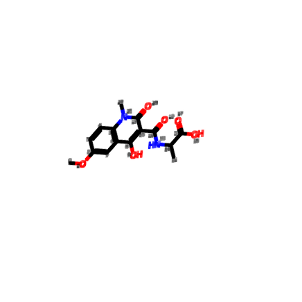 COc1ccc2c(c1)c(O)c(C(=O)NC(C)C(=O)O)c(=O)n2C